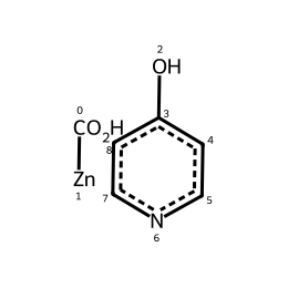 O=[C](O)[Zn].Oc1ccncc1